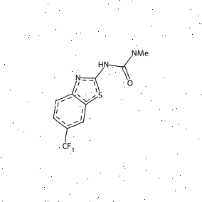 CNC(=O)Nc1nc2ccc(C(F)(F)F)cc2s1